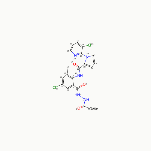 COC(=O)NNC(=O)c1cc(Cl)cc(C)c1NC(=O)c1cccn1-c1ncccc1Cl